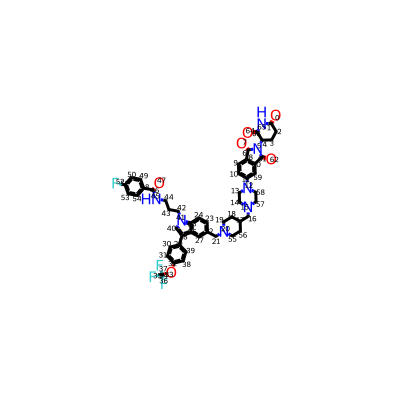 O=C1CCC(N2C(=O)c3ccc(N4CCN(CC5CCN(Cc6ccc7c(c6)c(-c6ccc(OC(F)(F)F)cc6)cn7CCCNC(=O)c6ccc(F)cc6)CC5)CC4)cc3C2=O)C(=O)N1